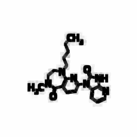 CCCCCN1CCN(C)C(=O)c2ccc(-n3c(=O)[nH]c4ncccc43)nc21